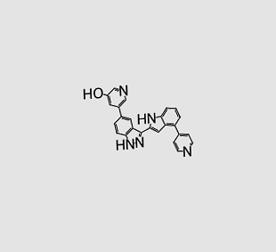 Oc1cncc(-c2ccc3[nH]nc(-c4cc5c(-c6ccncc6)cccc5[nH]4)c3c2)c1